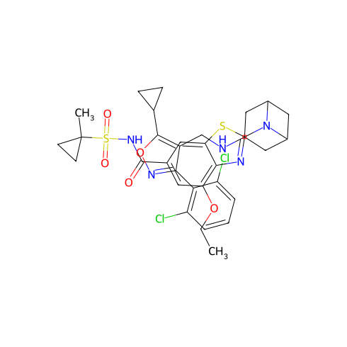 CCOc1cc(C(=O)NS(=O)(=O)C2(C)CC2)cc2sc(N3C4CC(NCc5c(-c6c(Cl)cccc6Cl)noc5C5CC5)CC3C4)nc12